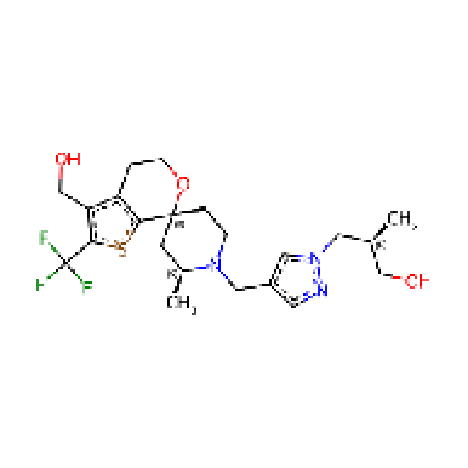 C[C@@H](CO)Cn1cc(CN2CC[C@]3(C[C@@H]2C)OCCc2c3sc(C(F)(F)F)c2CO)cn1